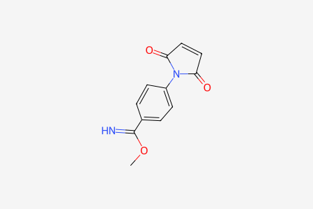 COC(=N)c1ccc(N2C(=O)C=CC2=O)cc1